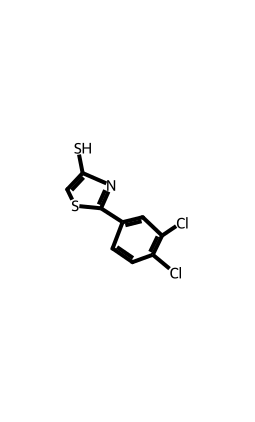 Sc1csc(-c2ccc(Cl)c(Cl)c2)n1